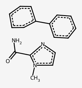 Cn1ccnc1C(N)=O.c1ccc(-c2ccccc2)cc1